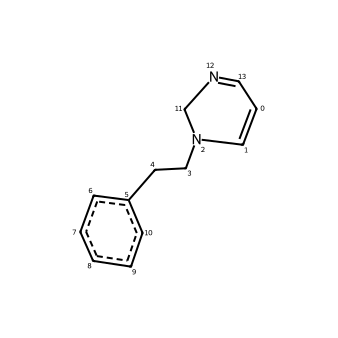 C1=CN(CCc2ccccc2)CN=C1